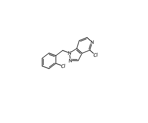 Clc1ccccc1Cn1ncc2c(Cl)nccc21